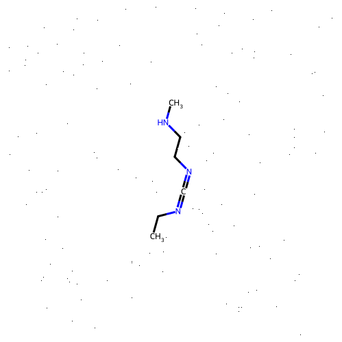 CCN=C=NCCNC